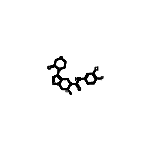 C[C@H]1Cn2ncc(N3CCOCC3=O)c2CN1C(=O)Nc1ccc(F)c(Cl)c1